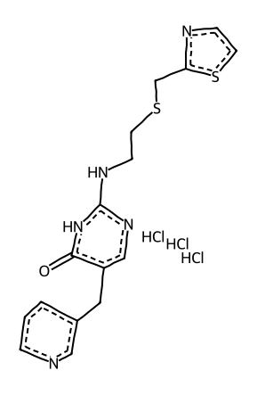 Cl.Cl.Cl.O=c1[nH]c(NCCSCc2nccs2)ncc1Cc1cccnc1